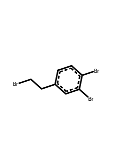 BrCCc1ccc(Br)c(Br)c1